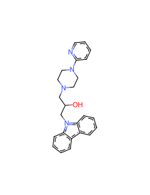 OC(CN1CCN(c2ccccn2)CC1)Cn1c2ccccc2c2ccccc21